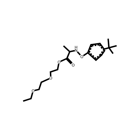 CCOCCOCCOC(=O)C(C)NOc1ccc(C(C)(C)C)cc1